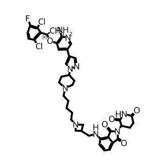 C[C@@H](Oc1cc(-c2cnn(C3CCN(CCCCCN4CC(CNc5cccc6c5C(=O)N(C5CCC(=O)NC5=O)C6=O)C4)CC3)c2)cnc1N)c1c(Cl)ccc(F)c1Cl